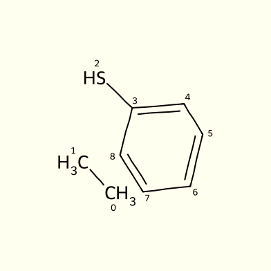 CC.Sc1ccccc1